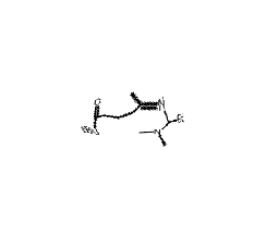 CCC(N=C(C)CC(=O)C(C)(C)C)N(C)C